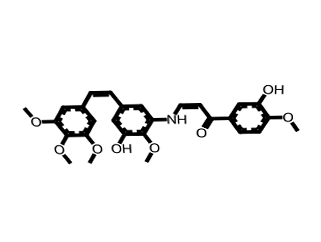 COc1ccc(C(=O)/C=C\Nc2cc(/C=C\c3cc(OC)c(OC)c(OC)c3)cc(O)c2OC)cc1O